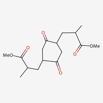 COC(=O)C(C)CC1CC(=O)C(CC(C)C(=O)OC)CC1=O